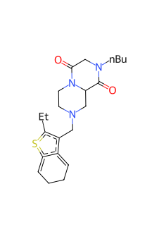 CCCCN1CC(=O)N2CCN(Cc3c(CC)sc4c3=CCCC=4)CC2C1=O